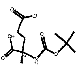 CC(C)(C)OC(=O)N[C@@](C)(CCC(=O)Cl)C(=O)O